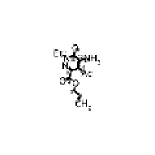 C=CCOC(=O)c1nn(CC)c(=O)c(N)c1C(C)=O